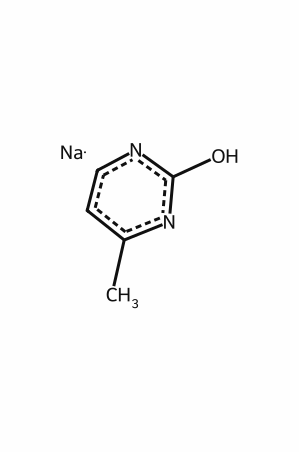 Cc1ccnc(O)n1.[Na]